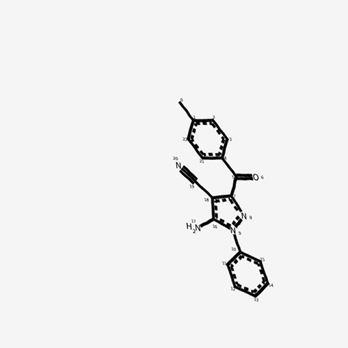 Cc1ccc(C(=O)c2nn(-c3ccccc3)c(N)c2C#N)cc1